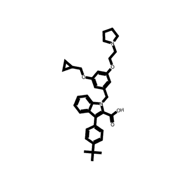 CC(C)(C)c1ccc(-c2c(C(=O)O)n(Cc3cc(OCCN4CCCC4)cc(OCC4CC4)c3)c3ccccc23)cc1